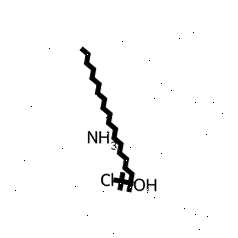 CCCCCCCCCCCCCCCCCCC(C)(O)C(C)(C)Cl.N